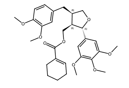 COc1ccc(C[C@H]2CO[C@H](c3cc(OC)c(OC)c(OC)c3)[C@H]2COC(=O)C2=CCCCC2)cc1OC